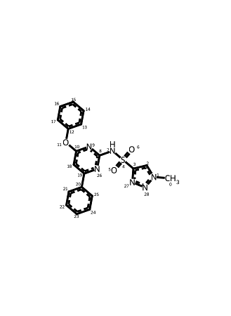 Cn1cc(S(=O)(=O)Nc2nc(Oc3ccccc3)cc(-c3ccccc3)n2)nn1